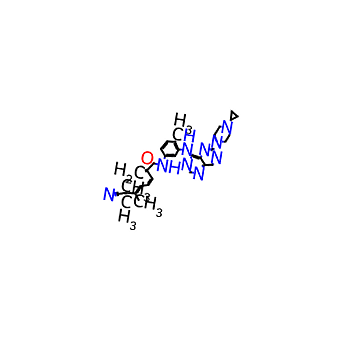 C=C(/C=C\C=C(/C)C(C)(C)C#N)C(=O)Nc1ccc(C)c(Nc2ncnc3cnc(N4CCN(C5CC5)CC4)nc23)c1